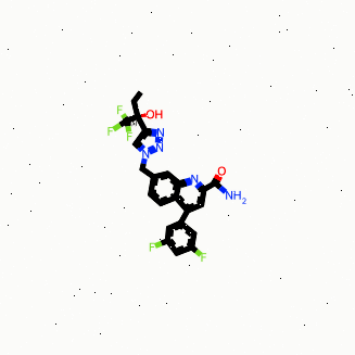 CC[C@](O)(c1cn(Cc2ccc3c(-c4cc(F)cc(F)c4)cc(C(N)=O)nc3c2)nn1)C(F)(F)F